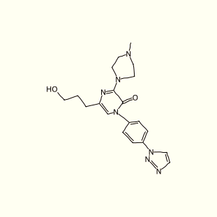 CN1CCN(c2nc(CCCO)cn(-c3ccc(-n4ccnn4)cc3)c2=O)CC1